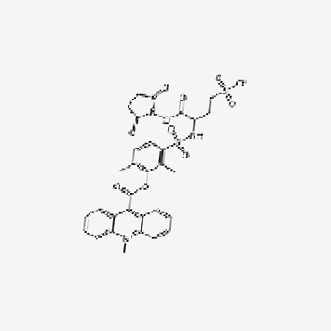 Cc1ccc(S(=O)(=O)NC(CCS(=O)(=O)[O-])C(=O)ON2C(=O)CCC2=O)c(C)c1OC(=O)c1c2ccccc2[n+](C)c2ccccc12